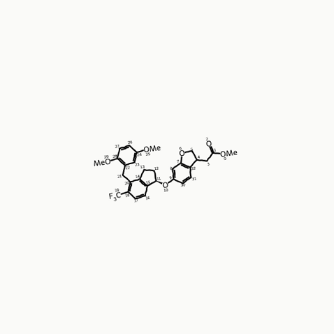 COC(=O)CC1COc2cc(O[C@@H]3CCc4c3ccc(C(F)(F)F)c4Cc3cc(OC)ccc3OC)ccc21